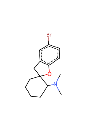 CN(C)C1CCCCC12Cc1cc(Br)ccc1O2